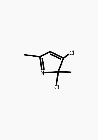 CC1=NC(C)(Cl)C(Cl)=C1